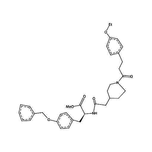 CCOc1ccc(CCC(=O)N2CCC(CC(=O)N[C@@H](Cc3ccc(OCc4ccccc4)cc3)C(=O)OC)CC2)cc1